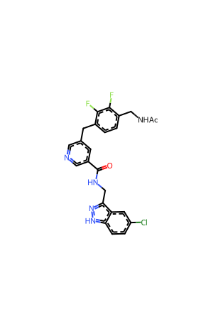 CC(=O)NCc1ccc(Cc2cncc(C(=O)NCc3n[nH]c4ccc(Cl)cc34)c2)c(F)c1F